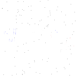 N=C(N)NCCCC#Cc1ccc2c(c1)C(=O)N(CCC(=O)OC(=O)C(F)(F)F)CCC2